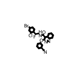 N#Cc1cccc(Oc2nnc3ccccc3c2C(=O)NC[C@H](F)c2ccc(Br)cc2Cl)c1